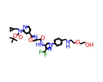 CC(C)(C)OC(=O)N(CC1CC1)c1cc(-c2nc(C(=O)Nc3cn(-c4ccc(CNCCOCCO)cc4)nc3C(F)F)co2)ccn1